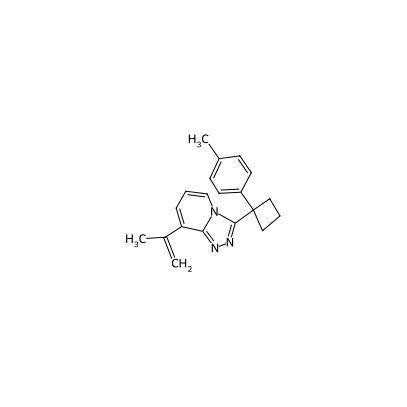 C=C(C)c1cccn2c(C3(c4ccc(C)cc4)CCC3)nnc12